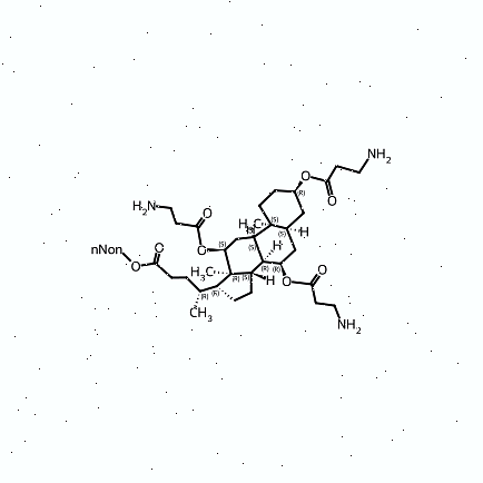 CCCCCCCCCOC(=O)CC[C@@H](C)[C@H]1CC[C@H]2[C@@H]3[C@H](OC(=O)CCN)C[C@@H]4C[C@H](OC(=O)CCN)CC[C@]4(C)[C@H]3C[C@H](OC(=O)CCN)[C@]12C